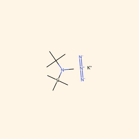 CN(C(C)(C)C)[Si](C)(C)C.[K+].[N-]=[N+]=[N-]